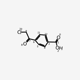 O=C(O)c1ccc(C(=O)CCl)cc1